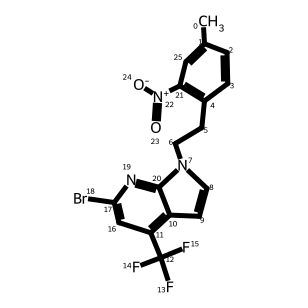 Cc1ccc(CCn2ccc3c(C(F)(F)F)cc(Br)nc32)c([N+](=O)[O-])c1